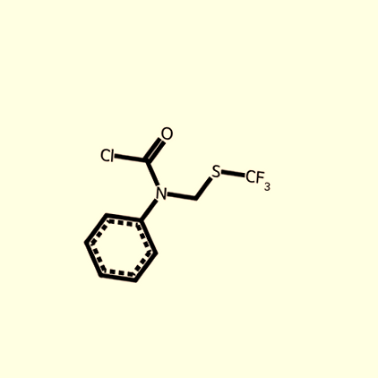 O=C(Cl)N(CSC(F)(F)F)c1ccccc1